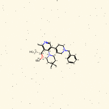 Cc1ncc(C2=CCN(Cc3ccccc3)CC2)c(N2CCC(C)(C)CC2)c1[C@H](OC(C)(C)C)C(=O)O